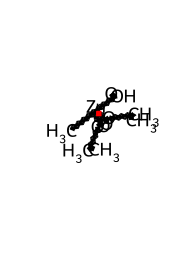 CC(C)CCCCCCOC(=O)c1ccccc1C(=O)OCCCCCCC(C)C.CCCCCCCCCCCCCCCCCC(=O)O.[Zn]